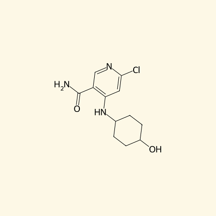 NC(=O)c1cnc(Cl)cc1NC1CCC(O)CC1